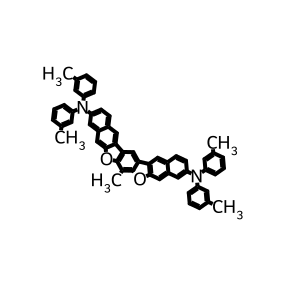 Cc1cccc(N(c2cccc(C)c2)c2ccc3cc4c(cc3c2)oc2c(C)c3oc5cc6cc(N(c7cccc(C)c7)c7cccc(C)c7)ccc6cc5c3cc24)c1